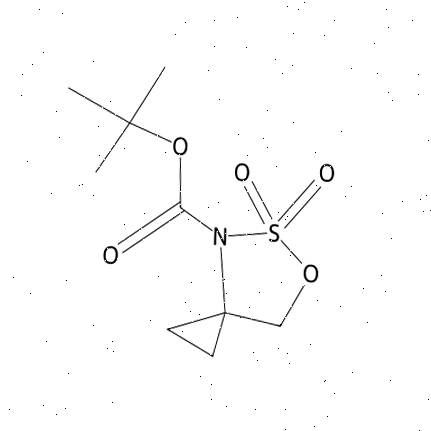 CC(C)(C)OC(=O)N1C2(CC2)COS1(=O)=O